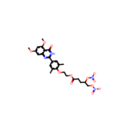 COc1cc(OC)c2c(=O)[nH]c(-c3cc(C)c(OCCOC(=O)CCC(CO[N+](=O)[O-])O[N+](=O)[O-])c(C)c3)nc2c1